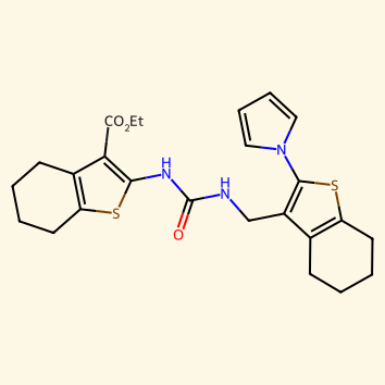 CCOC(=O)c1c(NC(=O)NCc2c(-n3cccc3)sc3c2CCCC3)sc2c1CCCC2